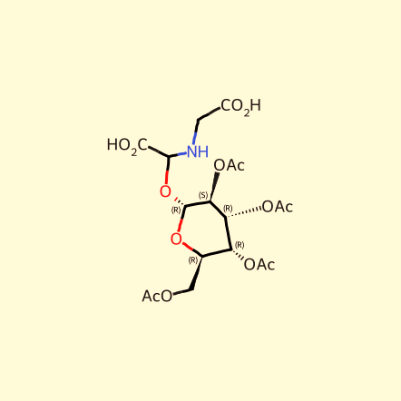 CC(=O)OC[C@H]1O[C@H](OC(NCC(=O)O)C(=O)O)[C@@H](OC(C)=O)[C@H](OC(C)=O)[C@@H]1OC(C)=O